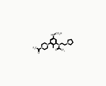 Cc1c(N2CCN(C(=O)C(F)(F)F)CC2)cc(NC(=O)O)cc1N(CCN1CCCC1)C(=O)C(F)(F)F